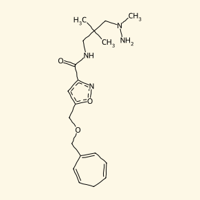 CN(N)CC(C)(C)CNC(=O)c1cc(COCC2=CC=CCC=C2)on1